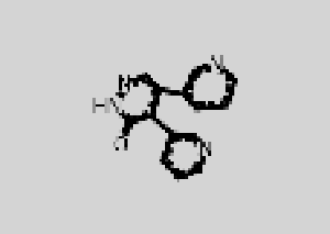 O=c1[nH]ncc(-c2cccnc2)c1-c1cccnc1